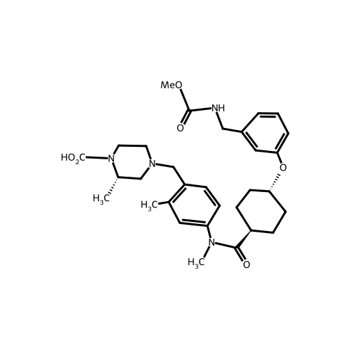 COC(=O)NCc1cccc(O[C@H]2CC[C@H](C(=O)N(C)c3ccc(CN4CCN(C(=O)O)[C@@H](C)C4)c(C)c3)CC2)c1